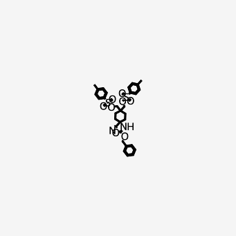 Cc1ccc(S(=O)(=O)OCC2(COS(=O)(=O)c3ccc(C)cc3)CCC(C#N)(NC(=O)OCc3ccccc3)CC2)cc1